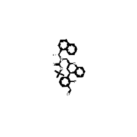 C[C@H](c1cccc2ccccc12)N(CC1CC(c2cccc(C=O)c2F)c2ccccc2O1)C(=O)OC(C)(C)C